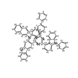 c1ccc(-c2ccc(-c3nc(-c4cc5c(cc4-n4c6ccccc6c6cc7ccccc7cc64)oc4ccccc45)nc(-c4cccc5c4c4ccccc4n5-c4ccccc4)n3)cc2)cc1